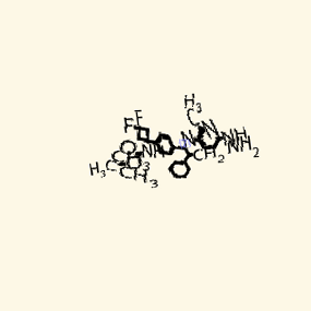 C=C(C1=CCCCC1)/C(=N\c1ccc(NN)nc1C)c1ccc(C2(NC(=O)OC(C)(C)C)CC(F)(F)C2)cc1